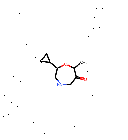 CC1OC(C2CC2)CNCC1=O